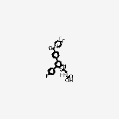 O=C(O)NCc1nc2cc(-c3ccc(C(=O)N4CCC(F)(F)CC4)cc3)cc(-c3ccc(F)cc3)c2s1